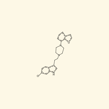 Clc1ccc2c(CCN3CCN(c4cccc5ccoc45)CC3)c[nH]c2c1